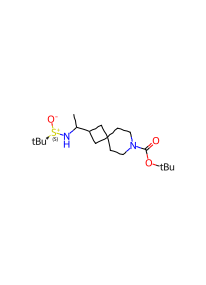 CC(N[S@+]([O-])C(C)(C)C)C1CC2(CCN(C(=O)OC(C)(C)C)CC2)C1